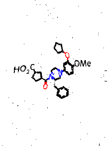 COc1ccc(N2CCN(C(=O)[C@H]3CC[C@@H](C(=O)O)C3)[C@@H](Cc3ccccc3)C2)cc1OC1CCCC1